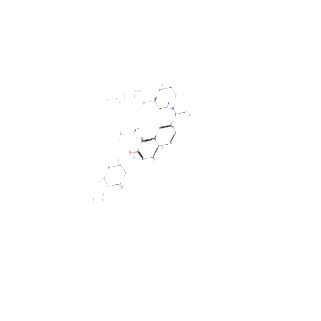 CC[C@H]1CC[C@@H](Oc2ccc3ccc(C(C)N4CCC[C@H](CC(=O)O)C4)cc3c2C(F)(F)F)CC1